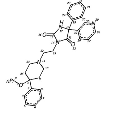 CCCOC1(c2ccccc2)CCN(CCN2C(=O)NC(c3ccccc3)(c3cccnc3)C2=O)CC1